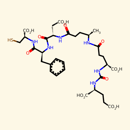 C[C@H](CCC(=O)N[C@@H](CC(=O)O)C(=O)N[C@@H](Cc1ccccc1)C(=O)N[C@@H](CS)C(=O)O)NC(=O)CC[C@H](NC(=O)N[C@@H](CCC(=O)O)C(=O)O)C(=O)O